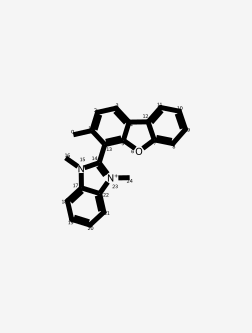 Cc1ccc2c(oc3ccccc32)c1-c1n(C)c2ccccc2[n+]1C